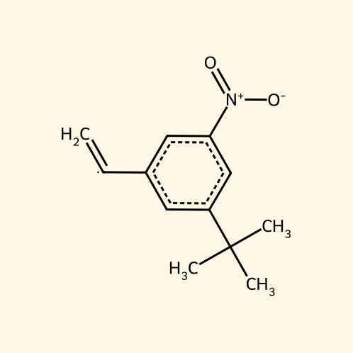 C=[C]c1cc([N+](=O)[O-])cc(C(C)(C)C)c1